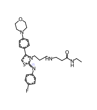 CCNC(=O)CCNCCCn1c(-c2ccc(N3CCOCC3)cc2)cs/c1=N\c1ccc(F)cc1